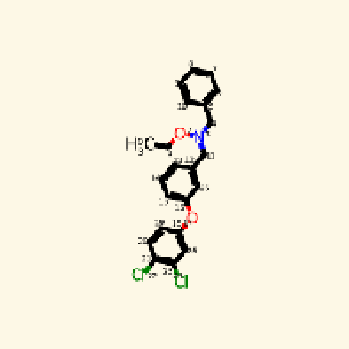 CCON(Cc1ccccc1)Cc1cccc(Oc2ccc(Cl)c(Cl)c2)c1